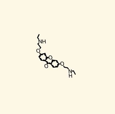 CCNCCOc1ccc2c(=O)c3ccc(OCCNCC)cc3oc2c1